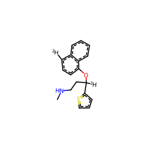 [2H]c1ccc(OC([2H])(CCNC)c2cccs2)c2ccccc12